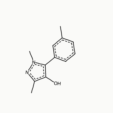 Cc1cccc(-c2c(O)c(C)nn2C)c1